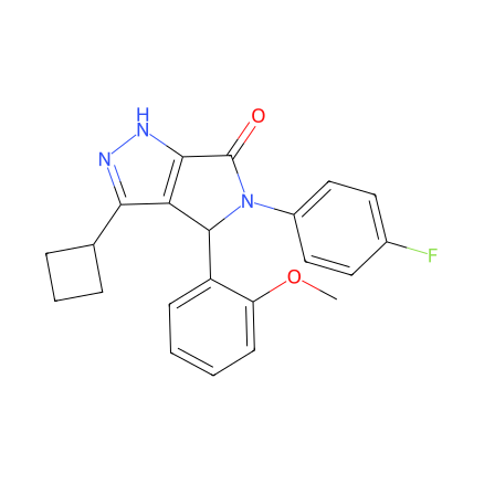 COc1ccccc1C1c2c(C3CCC3)n[nH]c2C(=O)N1c1ccc(F)cc1